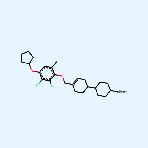 CCCCCC1CCC(C2CC=C(COc3c(C)cc(OC4CCCC4)c(F)c3F)CC2)CC1